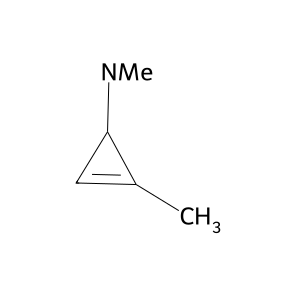 CNC1C=C1C